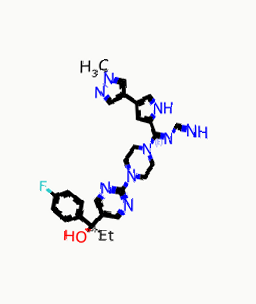 CC[C@](O)(c1ccc(F)cc1)c1cnc(N2CCN(/C(=N/C=N)c3cc(-c4cnn(C)c4)c[nH]3)CC2)nc1